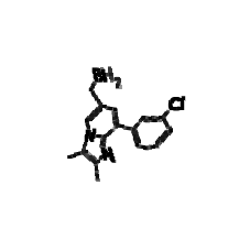 BCc1cc(-c2cccc(Cl)c2)c2nc(C)c(C)n2c1